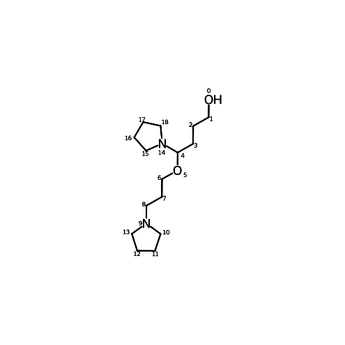 OCCCC(OCCCN1CCCC1)N1CCCC1